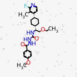 CCOCC(NC(=O)NNC(=O)c1ccc(OC)cc1)[C@H]1CC[C@@H](c2ccnc(F)c2C)CC1